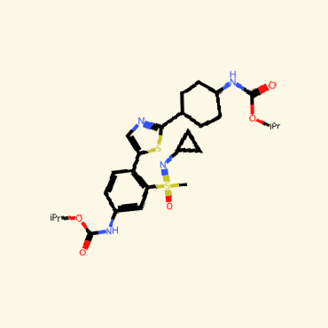 CC(C)OC(=O)Nc1ccc(-c2cnc(C3CCC(NC(=O)OC(C)C)CC3)s2)c(S(C)(=O)=NC2CC2)c1